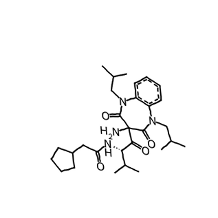 CC(C)CN1C(=O)C(N)(C(=O)[C@@H](NC(=O)CC2CCCC2)C(C)C)C(=O)N(CC(C)C)c2ccccc21